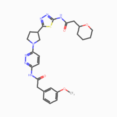 O=C(Cc1cccc(OC(F)(F)F)c1)Nc1ccc(N2CCC(c3nnc(NC(=O)CC4CCCCO4)s3)C2)nn1